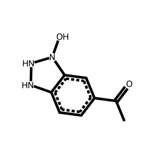 CC(=O)c1ccc2c(c1)N(O)NN2